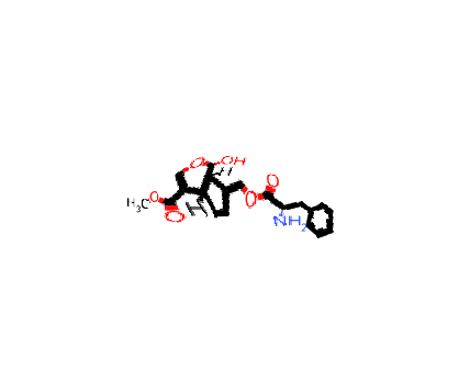 COC(=O)C1=CO[C@@H](O)[C@@H]2C(COC(=O)[C@@H](N)Cc3ccccc3)=CC[C@H]12